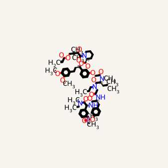 C=CC(=O)OCC(C)(C)C(=O)C(=O)N1CCCC[C@H]1C(=O)O[C@H](CCc1ccc(OC)c(OC)c1)c1cccc(OCC(=O)N(C)[C@@H](CC(C)C)C(=O)N(CCC)CC(=O)N[C@@H](Cc2ccc(OP(C)(C)=O)cc2)C(=O)N[C@@H](C(=O)N(C)CC)c2ccccc2)c1